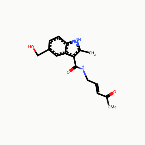 COC(=O)/C=C/CNC(=O)c1c(C)[nH]c2ccc(CO)cc12